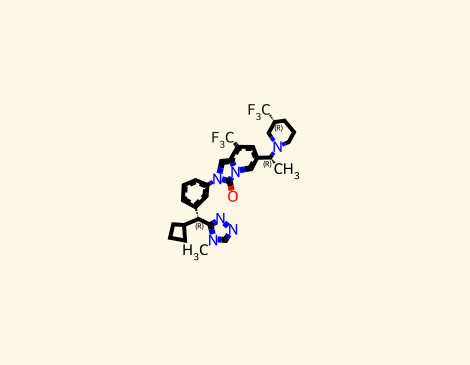 C[C@H](c1cc(C(F)(F)F)c2cn(-c3cccc([C@H](c4nncn4C)C4CCC4)c3)c(=O)n2c1)N1CCC[C@@H](C(F)(F)F)C1